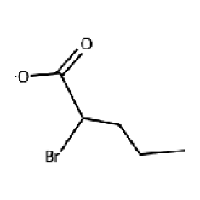 CCCC(Br)C([O])=O